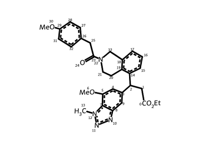 CCOC(=O)CC(c1cc(OC)c2c(c1)nnn2C)c1cccc2c1CCN(C(=O)Cc1ccc(OC)cc1)C2